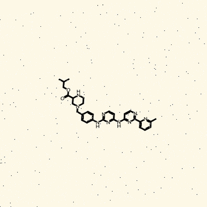 Cc1cccc(-c2nccc(Nc3ccnc(Nc4ccc(CN5CCNC(C(=O)OCC(C)C)C5)cc4)n3)n2)n1